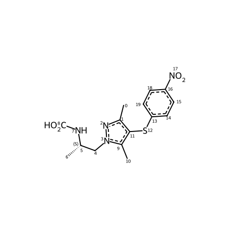 Cc1nn(C[C@H](C)NC(=O)O)c(C)c1Sc1ccc([N+](=O)[O-])cc1